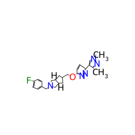 Cc1nn(C)cc1-c1ccc(OCC2C[C@@H]3CN(Cc4ccc(F)cc4)C[C@@H]3C2)nn1